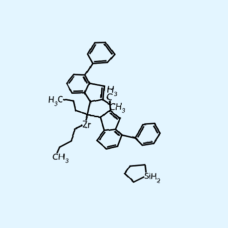 C1CC[SiH2]C1.CCC[CH2][Zr][C](CCC)(C1C(C)=Cc2c(-c3ccccc3)cccc21)C1C(C)=Cc2c(-c3ccccc3)cccc21